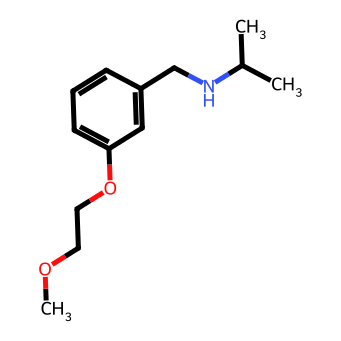 COCCOc1cccc(CNC(C)C)c1